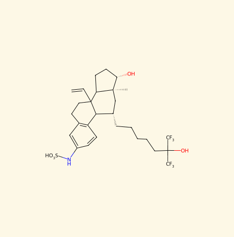 C=CC12CCc3cc(NS(=O)(=O)O)ccc3C1[C@@H](CCCCCC(O)(C(F)(F)F)C(F)(F)F)C[C@@]1(C)C2CC[C@@H]1O